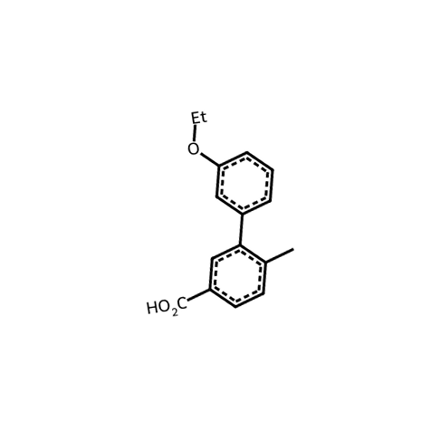 CCOc1cccc(-c2cc(C(=O)O)ccc2C)c1